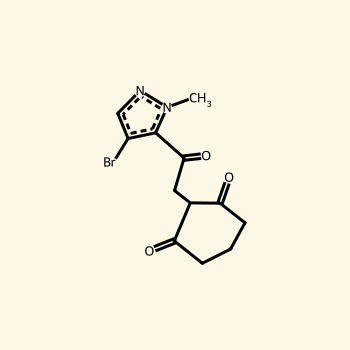 Cn1ncc(Br)c1C(=O)CC1C(=O)CCCC1=O